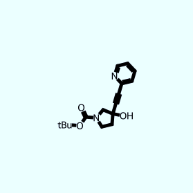 CC(C)(C)OC(=O)N1CCC(O)(C#Cc2ccccn2)C1